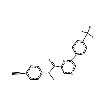 C#Cc1ccc(N(C)C(=O)c2cncc(-c3ccc(C(F)(F)F)cc3)n2)cc1